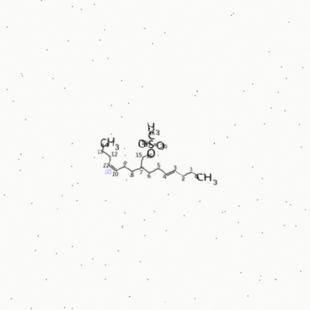 CCCC=CCCC(CC/C=C\CCC)COS(C)(=O)=O